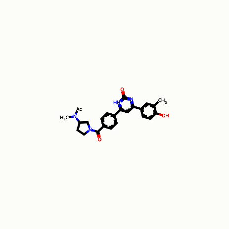 CC(=O)N(C)C1CCN(C(=O)c2ccc(-c3cc(-c4ccc(O)c(C)c4)nc(=O)[nH]3)cc2)C1